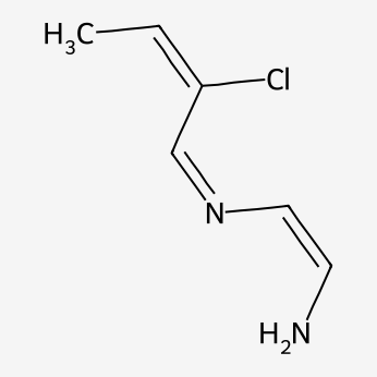 C\C=C(Cl)/C=N\C=C/N